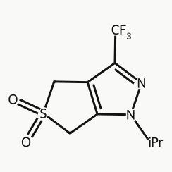 CC(C)n1nc(C(F)(F)F)c2c1CS(=O)(=O)C2